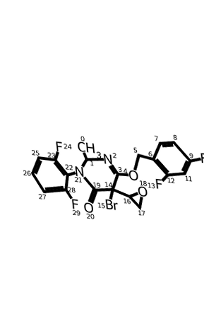 CC1N=C(OCc2ccc(F)cc2F)C(Br)(C2CO2)C(=O)N1c1c(F)cccc1F